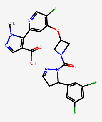 Cn1ncc(C(=O)O)c1-c1cc(OC2CN(C(=O)N3N=CCC3c3cc(F)cc(F)c3)C2)c(F)cn1